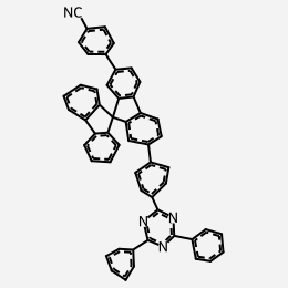 N#Cc1ccc(-c2ccc3c(c2)C2(c4ccccc4-c4ccccc42)c2cc(-c4ccc(-c5nc(-c6ccccc6)nc(-c6ccccc6)n5)cc4)ccc2-3)cc1